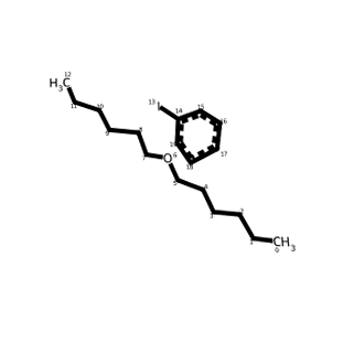 CCCCCCOCCCCCC.Ic1ccccc1